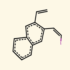 C=Cc1cc2ccccc2cc1/C=C\I